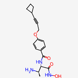 C[C@@H](N)[C@H](NC(=O)c1ccc(OCC#CC2CCC2)cc1)C(=O)NO